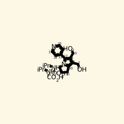 CC(C)NC(=O)O.CC(C)NC(=O)O.OCc1c(CO)c(-c2ccncc2)n2c1CCC2